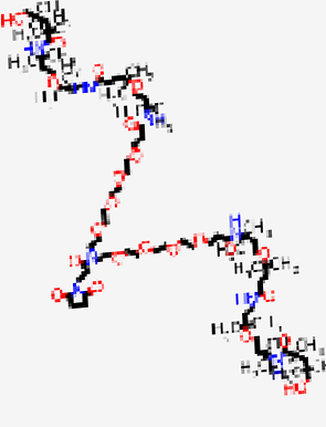 CC(C)(CO)CC(C)(C)C(=O)NC(C)(C)CCOC(C)(C)CCNC(=O)CCC(C)(C)OCCC(C)(C)NC(=O)CCOCCOCCOCCOCCN(CCOCCOCCOCCOCCC(=O)NC(C)(C)CCOC(C)(C)CCC(=O)NCCC(C)(C)OCCC(C)(C)NC(=O)C(C)(C)CC(C)(C)CO)C(=O)CCN1C(=O)C=CC1=O